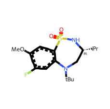 COc1cc2c(cc1F)N(C(C)(C)C)C[C@@H](C(C)C)NS2(=O)=O